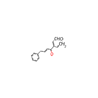 C=CC(=C[C]=O)C(=O)C=CCc1ccccc1